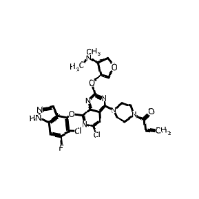 C=CC(=O)N1CCN(c2nc(O[C@@H]3COCC3N(C)C)nc3c(Oc4c(Cl)c(F)cc5[nH]ncc45)nc(Cl)cc23)CC1